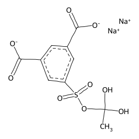 CC(O)(O)OS(=O)(=O)c1cc(C(=O)[O-])cc(C(=O)[O-])c1.[Na+].[Na+]